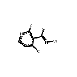 ON=C(Cl)c1c(Cl)ccnc1Cl